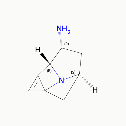 N[C@@H]1C[C@H]2CC34C=C3[C@H]1N24